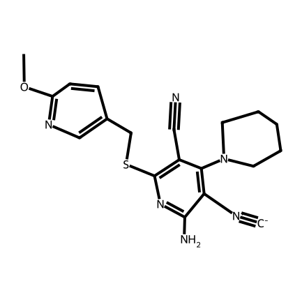 [C-]#[N+]c1c(N)nc(SCc2ccc(OC)nc2)c(C#N)c1N1CCCCC1